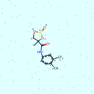 CC1(C(=O)Nc2ccc(C#N)c(C(F)(F)F)c2)COS(=O)O1